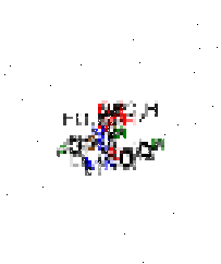 CCN(CC)CCN(Cc1ccc(-c2ccc(Cl)cc2)cc1)C(=O)Cn1cc(Br)c(=O)nc1SCc1ccc(F)cc1.O=C(O)C(O)C(O)C(=O)O